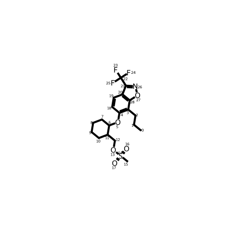 CCCc1c(OC2CCCCC2COS(C)(=O)=O)ccc2c(C(F)(F)F)noc12